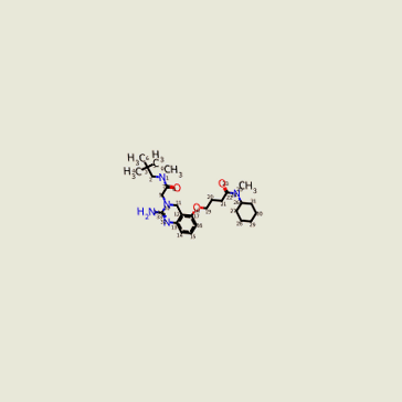 CN(CC(C)(C)C)C(=O)CN1Cc2c(cccc2OCCCC(=O)N(C)C2CCCCC2)N=C1N